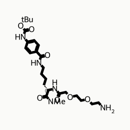 CNC(=O)[C@H](CCCCNC(=O)c1ccc(NC(=O)OC(C)(C)C)cc1)NC(=O)COCCOCCN